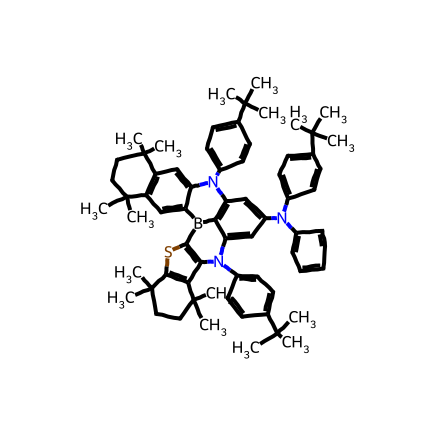 CC(C)(C)c1ccc(N(c2ccccc2)c2cc3c4c(c2)N(c2ccc(C(C)(C)C)cc2)c2c(sc5c2C(C)(C)CCC5(C)C)B4c2cc4c(cc2N3c2ccc(C(C)(C)C)cc2)C(C)(C)CCC4(C)C)cc1